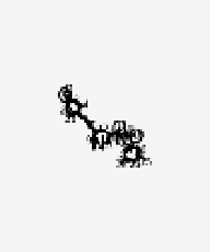 COc1ccc(C#Cc2cncc(C(=O)N=S(C)(=O)c3cc(C)cc(C)c3)c2)cc1